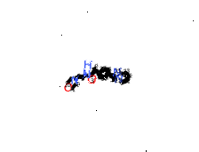 CC(C(=O)NCCN1CCOCC1)c1ccc(-c2cn3ccccc3n2)cc1